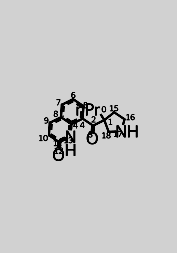 CCCC1(C(=O)c2cccc3ccc(=O)[nH]c23)CCNC1